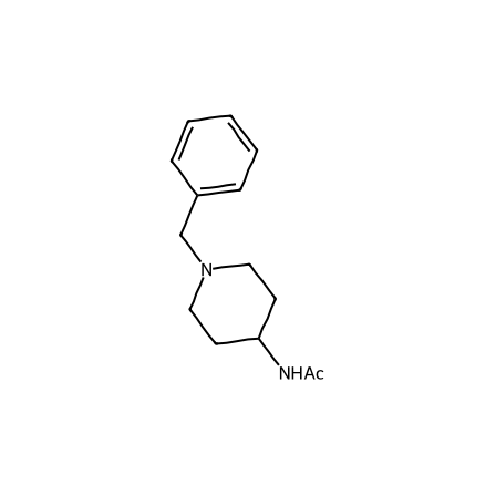 [CH2]C(=O)NC1CCN(Cc2ccccc2)CC1